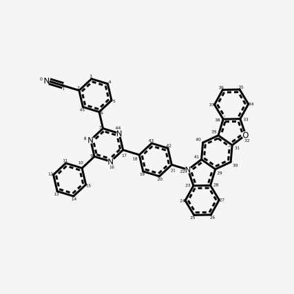 N#Cc1cccc(-c2nc(-c3ccccc3)nc(-c3ccc(-n4c5ccccc5c5cc6oc7ccccc7c6cc54)cc3)n2)c1